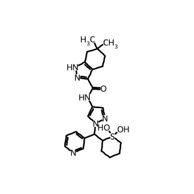 CC1(C)CCc2c(C(=O)Nc3cnn(C(c4cccnc4)C4CCCCS4(O)O)c3)n[nH]c2C1